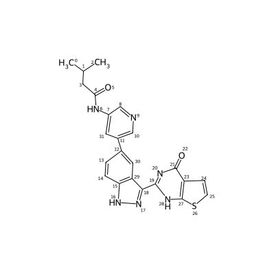 CC(C)CC(=O)Nc1cncc(-c2ccc3[nH]nc(-c4nc(=O)c5ccsc5[nH]4)c3c2)c1